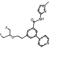 Cn1ccc(NC(=O)c2cc(CCOC(CF)CF)cc(-c3ccncc3)c2)n1